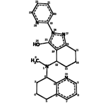 CN(C1CCCc2cccnc21)C1CCCc2nn(-c3ccccn3)c(O)c21